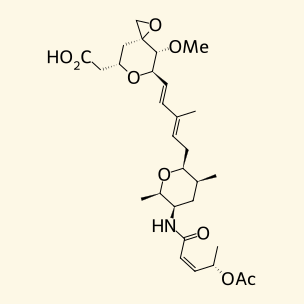 CO[C@@H]1[C@@H](/C=C/C(C)=C/C[C@@H]2O[C@H](C)[C@H](NC(=O)/C=C\[C@H](C)OC(C)=O)C[C@@H]2C)O[C@H](CC(=O)O)C[C@@]12CO2